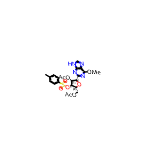 COc1nc([C@@H]2O[C@H](COC(C)=O)[C@H](OS(=O)(=O)c3ccc(C)cc3)[C@H]2OC(C)=O)nc2[nH]cnc12